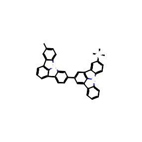 Cc1ccc2c(c1)c1cccc3c4ccc(-c5cc6c7ccccc7n7c8ccc([Si](C)(C)C)cc8c(c5)c67)cc4n2c13